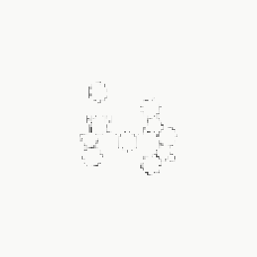 c1ccc(-c2nc(-c3cccc(-n4c5ccccc5c5ccc6oc7ccccc7c6c54)c3)c3c(n2)sc2ccccc23)cc1